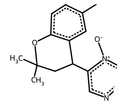 CC1(C)CC(c2cncc[n+]2[O-])c2cc(C#N)ccc2O1